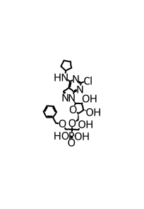 O=P(O)(O)C(CO)(COCc1ccccc1)OC[C@H]1O[C@@H](n2ncc3c(NC4CCCC4)nc(Cl)nc32)[C@H](O)[C@@H]1O